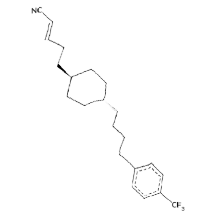 N#CC=CCC[C@H]1CC[C@H](CCCCc2ccc(C(F)(F)F)cc2)CC1